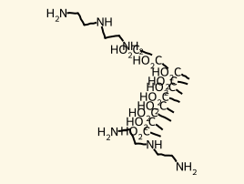 CC(=O)O.CC(=O)O.CC(=O)O.CC(=O)O.CC(=O)O.CC(=O)O.CC(=O)O.CC(=O)O.CC(=O)O.CC(=O)O.NCCNCCN.NCCNCCN